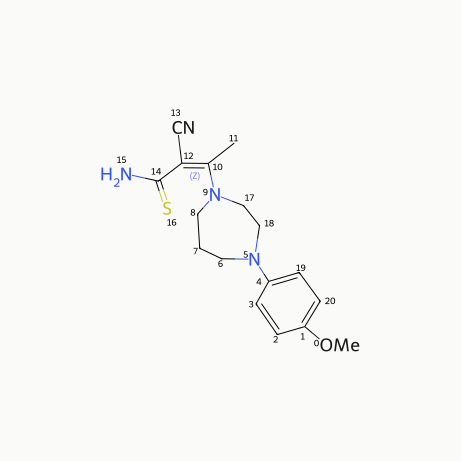 COc1ccc(N2CCCN(/C(C)=C(/C#N)C(N)=S)CC2)cc1